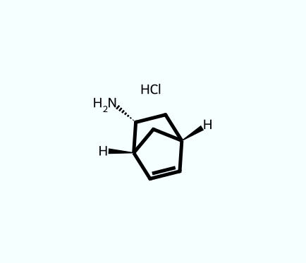 Cl.N[C@@H]1C[C@@H]2C=C[C@H]1C2